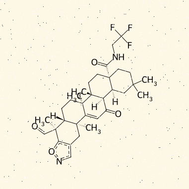 CC1(C)CC[C@]2(C(=O)NCC(F)(F)F)CC[C@]3(C)[C@H](C(=O)C=C4[C@@]5(C)Cc6cnoc6[C@@](C)(C=O)[C@@H]5CC[C@]43C)[C@@H]2C1